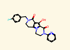 O=C1c2c(O)c3n(c2CCN1Cc1ccc(F)cc1)CCN(c1ccccn1)C3=O